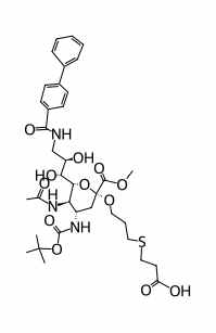 COC(=O)[C@@]1(OCCCSCCC(=O)O)C[C@H](NC(=O)OC(C)(C)C)[C@@H](NC(C)=O)[C@H]([C@H](O)[C@H](O)CNC(=O)c2ccc(-c3ccccc3)cc2)O1